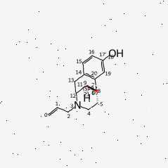 C=CCN1CC[C@@]23CCCC[C@@H]2C1Cc1ccc(O)cc13